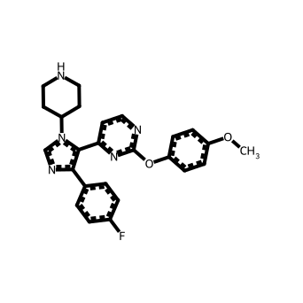 COc1ccc(Oc2nccc(-c3c(-c4ccc(F)cc4)ncn3C3CCNCC3)n2)cc1